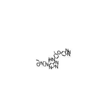 C=CC(=O)N1CCN(c2ncc3ncnc(Nc4ccc(Oc5ccc6c(c5)nnn6C)c(C)c4)c3c2F)CC1